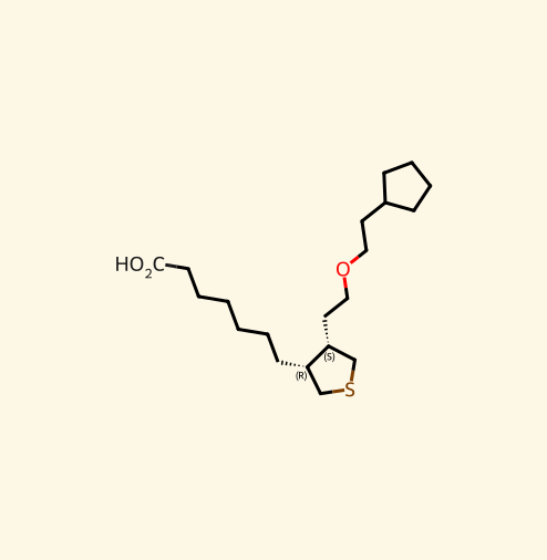 O=C(O)CCCCCC[C@H]1CSC[C@H]1CCOCCC1CCCC1